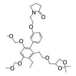 CCc1c(OCOC)cc(OCOC)c(-c2cccc(OCCN3CCCC3=O)c2)c1CCOCC1COC(C)(C)O1